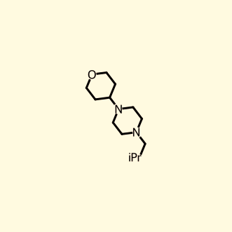 CC(C)CN1CCN(C2CCOCC2)CC1